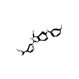 O=C(O)c1cnn(-c2nc3ccc(Oc4cccc(F)c4)cc3c(=O)[nH]2)c1